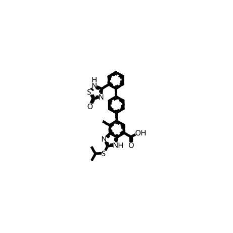 Cc1c(-c2ccc(-c3ccccc3-c3nc(=O)s[nH]3)cc2)cc(C(=O)O)c2[nH]c(SC(C)C)nc12